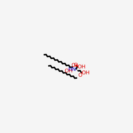 CCCCCCCCCC(O)CCCCCC.CCCCCCCCCCCCCCCC(=O)N[C@@H](CCC(=O)O)C(=O)O